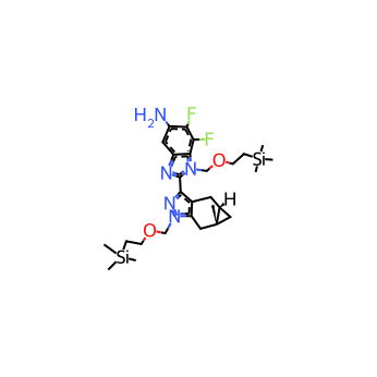 C[C@@]12Cc3c(c(-c4nc5cc(N)c(F)c(F)c5n4COCC[Si](C)(C)C)nn3COCC[Si](C)(C)C)C[C@@H]1C2